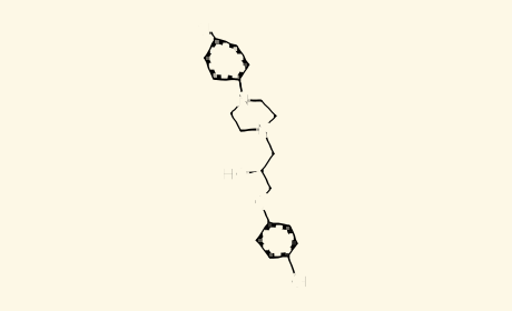 Oc1ccc(OC[C@@H](O)CN2CCN(c3ccc(Cl)cc3)CC2)cc1